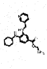 CCOC(=O)c1ccc(NC2CCCCC2)c(NCc2cccnc2)c1